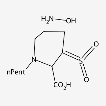 CCCCCN1CCCC(=S(=O)=O)C1C(=O)O.NO